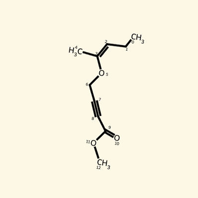 CCC=C(C)OCC#CC(=O)OC